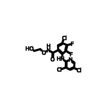 O=C(NOCCO)c1cc(Cl)c(F)c(F)c1Nc1ncc(Cl)cc1Cl